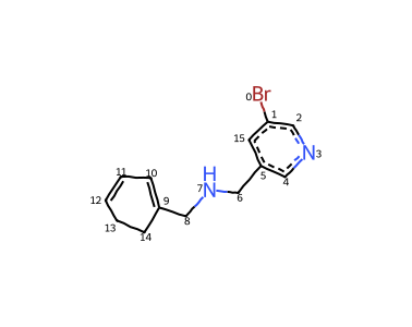 Brc1cncc(CNCC2=CC=CCC2)c1